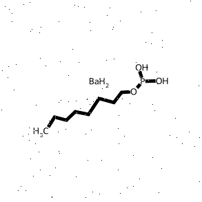 CCCCCCCCOP(O)O.[BaH2]